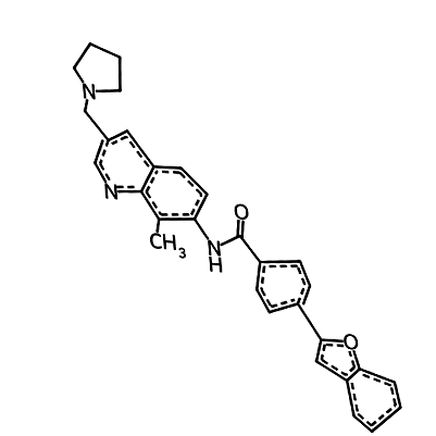 Cc1c(NC(=O)c2ccc(-c3cc4ccccc4o3)cc2)ccc2cc(CN3CCCC3)cnc12